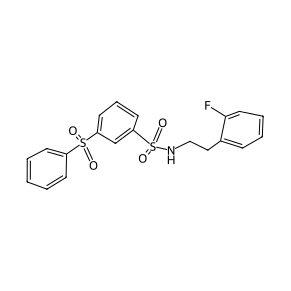 O=S(=O)(NCCc1ccccc1F)c1cccc(S(=O)(=O)c2ccccc2)c1